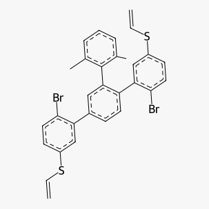 C=CSc1ccc(Br)c(-c2ccc(-c3cc(SC=C)ccc3Br)c(-c3c(C)cccc3C)c2)c1